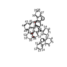 c1cc(-c2cccc3c2oc2ccccc23)cc(N(c2ccc3c(c2)oc2ccccc23)c2ccccc2-c2cccc3cccc(C4CCCCC4)c23)c1